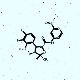 COc1c(C2[C@H](C(=O)Nc3ccnc([S@@+](C)[O-])c3)O[C@@](C)(C(F)(F)F)[C@H]2C)ccc(F)c1F